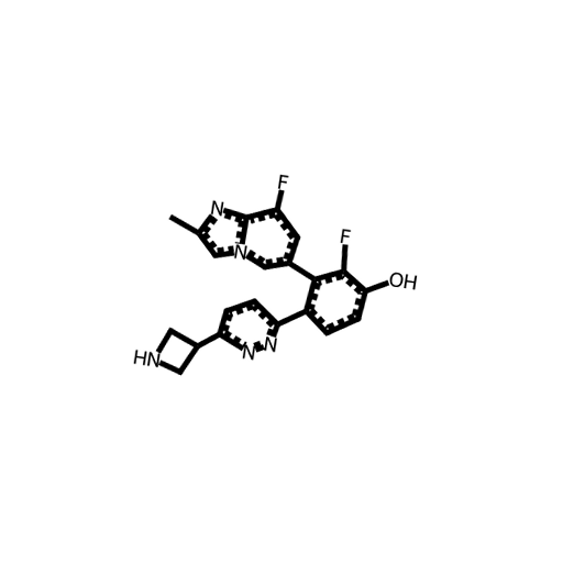 Cc1cn2cc(-c3c(-c4ccc(C5CNC5)nn4)ccc(O)c3F)cc(F)c2n1